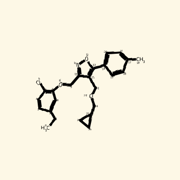 CCc1ccc(Cl)c(OCc2noc(-c3ccc(C)cc3)c2COCC2CC2)c1